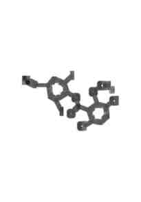 COc1c(Cl)ccc(Cl)c1C(=O)Oc1c(I)cc(C#N)cc1I